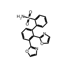 NS(=O)(=O)c1ccccc1-c1cccc(-c2ncco2)c1-c1ncco1